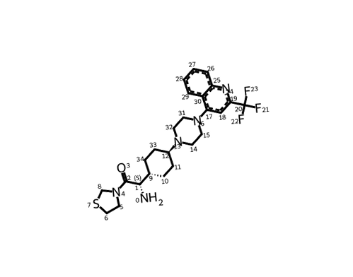 N[C@H](C(=O)N1CCSC1)[C@H]1CC[C@H](N2CCN(c3cc(C(F)(F)F)nc4ccccc34)CC2)CC1